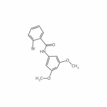 COc1cc(NC(=O)c2ccccc2Br)cc(OC)c1